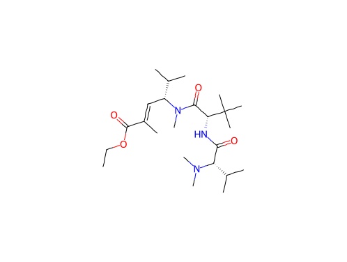 CCOC(=O)/C(C)=C/[C@H](C(C)C)N(C)C(=O)[C@@H](NC(=O)[C@H](C(C)C)N(C)C)C(C)(C)C